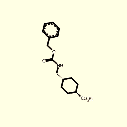 CCOC(=O)[C@H]1CC[C@H](CNC(=O)OCc2ccccc2)CC1